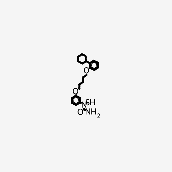 NC(=O)N(S)c1cccc(OCCCCCOc2ccccc2C2CCCCC2)c1